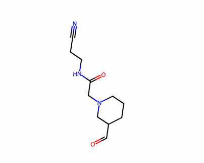 N#CCCNC(=O)CN1CCCC(C=O)C1